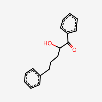 O=C(c1ccccc1)C(O)CCCc1ccccc1